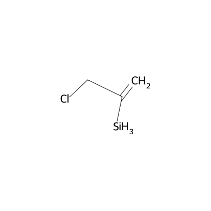 C=C([SiH3])CCl